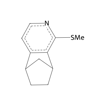 CSc1nccc2c1C1CCC2C1